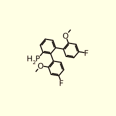 COc1cc(F)ccc1-c1cccc(P)c1-c1ccc(F)cc1OC